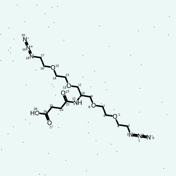 [N-]=[N+]=NCCOCCOCC(COCCOCCN=[N+]=[N-])NC(=O)CCC(=O)O